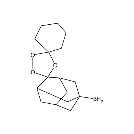 BC12CC3CC(C1)C1(OOC4(CCCCC4)O1)C(C3)C2